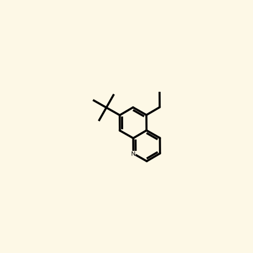 CCc1cc(C(C)(C)C)cc2ncccc12